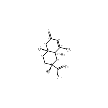 C=C(C)[C@]1(O)CC[C@]2(C)CC(=O)C=C(C)[C@H]2C1